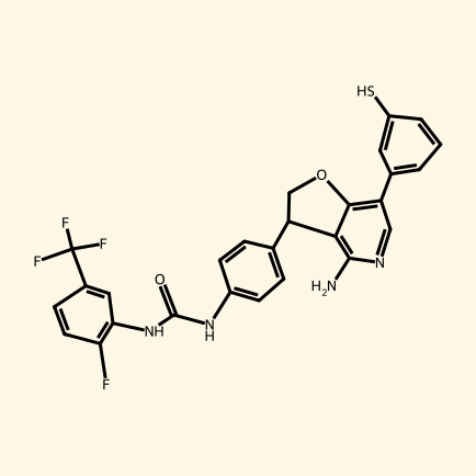 Nc1ncc(-c2cccc(S)c2)c2c1C(c1ccc(NC(=O)Nc3cc(C(F)(F)F)ccc3F)cc1)CO2